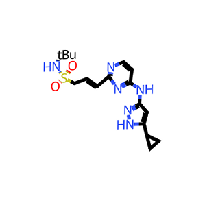 CC(C)(C)NS(=O)(=O)C/C=C/c1nccc(Nc2cc(C3CC3)[nH]n2)n1